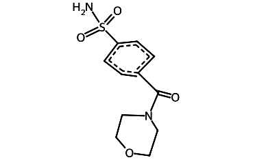 NS(=O)(=O)c1ccc(C(=O)N2CCOCC2)cc1